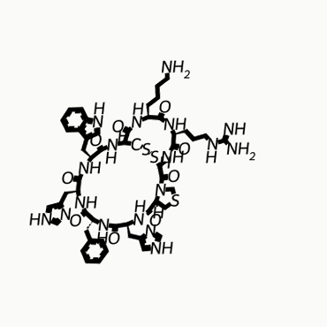 N=C(N)NCCC[C@@H]1NC(=O)[C@H](CCCCN)NC(=O)[C@@H]2CSS[C@H](NC1=O)C(=O)N1CSC[C@H]1C(=O)N[C@@H](Cc1c[nH]cn1)C(=O)N[C@H](Cc1ccccc1)C(=O)N[C@@H](Cc1c[nH]cn1)C(=O)N[C@@H](Cc1c[nH]c3ccccc13)C(=O)N2